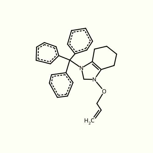 C=CCON1CN(C(c2ccccc2)(c2ccccc2)c2ccccc2)C2=C1CCCC2